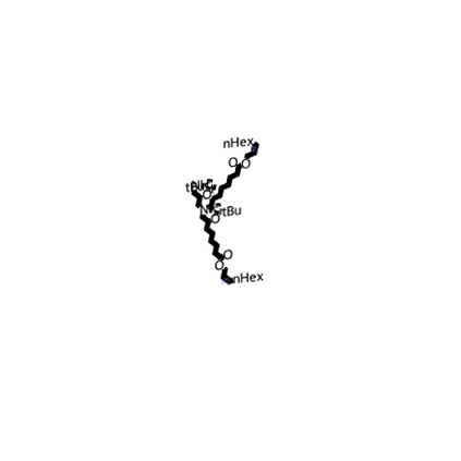 CCCCCC/C=C\COC(=O)CCCCCC(CN(CCCN)CC(CCCCCC(=O)OC/C=C\CCCCCC)O[Si](C)(C)C(C)(C)C)O[Si](C)(C)C(C)(C)C